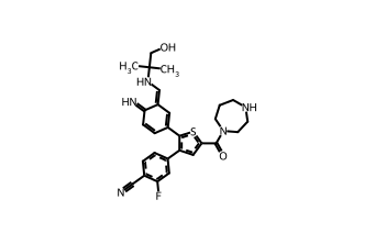 CC(C)(CO)N/C=C1/C=C(c2sc(C(=O)N3CCCNCC3)cc2-c2ccc(C#N)c(F)c2)C=CC1=N